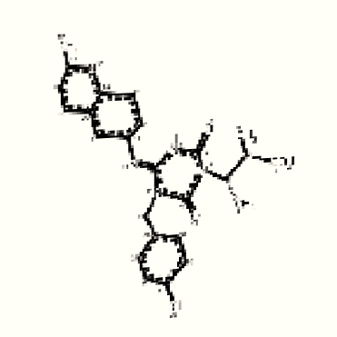 C[C@@H](C(=O)O)[C@H](C)n1c(=O)[nH]/c(=N\c2ccc3nc(C(F)(F)F)ccc3c2)n(Cc2ccc(Cl)cc2)c1=O